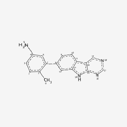 Cc1ccc(N)cc1-c1ccc2c(c1)[nH]c1ncncc12